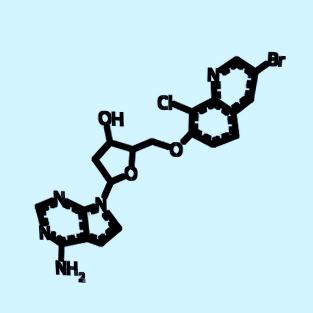 Nc1ncnc2c1ccn2C1CC(O)C(COc2ccc3cc(Br)cnc3c2Cl)O1